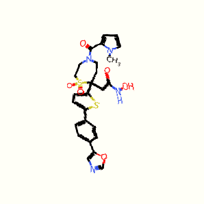 Cn1cccc1C(=O)N1CCC(CC(=O)NO)(c2ccc(-c3ccc(-c4cnco4)cc3)s2)S(=O)(=O)CC1